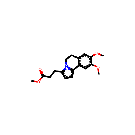 COC(=O)CCc1ccc2n1CCc1cc(OC)c(OC)cc1-2